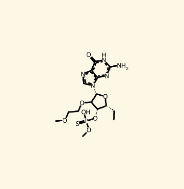 CC[C@H]1O[C@@H](n2cnc3c(=O)[nH]c(N)nc32)C(OCCOC)[C@H]1OP(O)(=S)OC